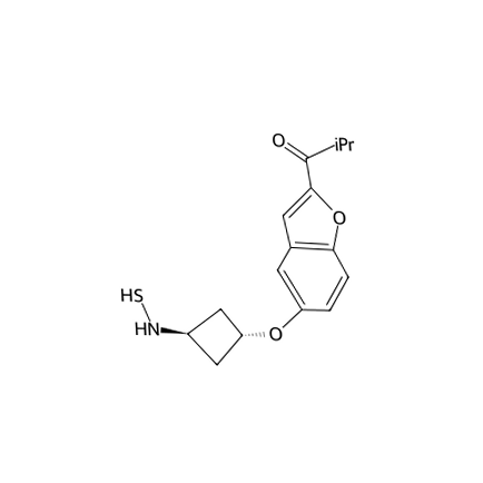 CC(C)C(=O)c1cc2cc(O[C@H]3C[C@H](NS)C3)ccc2o1